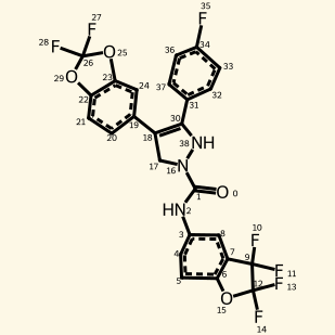 O=C(Nc1ccc2c(c1)C(F)(F)C(F)(F)O2)N1CC(c2ccc3c(c2)OC(F)(F)O3)=C(c2ccc(F)cc2)N1